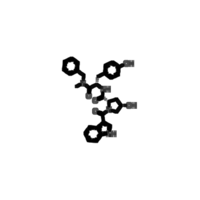 CN(Cc1ccccc1)C(=O)[C@H](Cc1ccc(O)cc1)NC(=O)[C@@H]1C[C@@H](O)CN1C(=O)c1c[nH]c2ccccc12